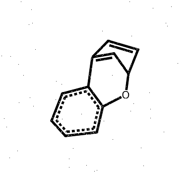 C1=CC2C=C1c1ccccc1O2